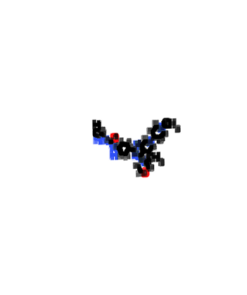 CCNC(=O)Nc1ccc(-c2nc3c(c(N4CCOC[C@@H]4C)n2)CCN(C2CCN(C)CC2)C3)cc1